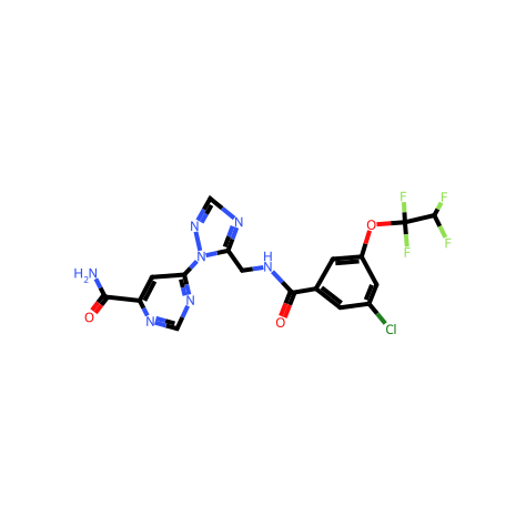 NC(=O)c1cc(-n2ncnc2CNC(=O)c2cc(Cl)cc(OC(F)(F)C(F)F)c2)ncn1